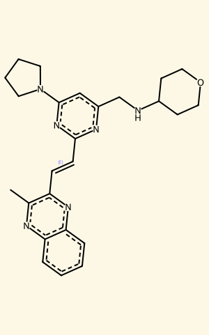 Cc1nc2ccccc2nc1/C=C/c1nc(CNC2CCOCC2)cc(N2CCCC2)n1